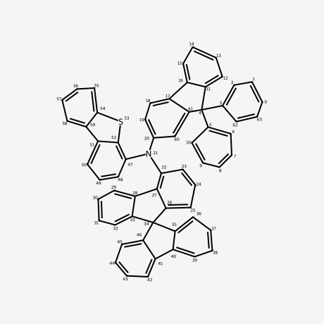 c1ccc(C2(c3ccccc3)c3ccccc3-c3ccc(N(c4cccc5c4-c4ccccc4C54c5ccccc5-c5ccccc54)c4cccc5c4sc4ccccc45)cc32)cc1